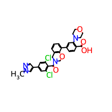 Cn1cc(-c2cc(Cl)c(C(=O)N3COc4c(cccc4-c4ccc(C(=O)O)c(N5CCOCC5)c4)C3)c(Cl)c2)cn1